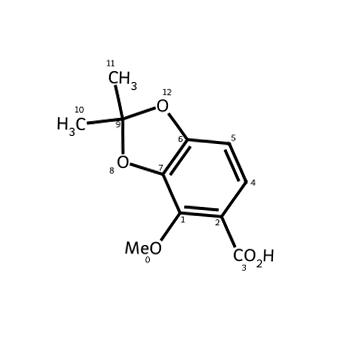 COc1c(C(=O)O)ccc2c1OC(C)(C)O2